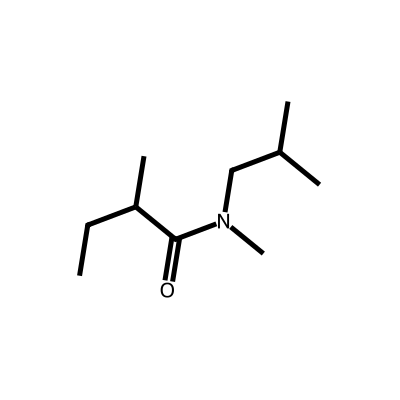 CCC(C)C(=O)N(C)CC(C)C